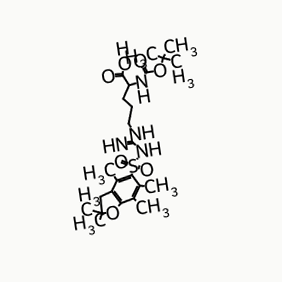 Cc1c(C)c(S(=O)(=O)NC(=N)NCCCC(NC(=O)OC(C)(C)C)C(=O)O)c(C)c2c1OC(C)(C)C2